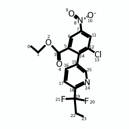 CCOC(=O)c1cc([N+](=O)[O-])cc(Cl)c1-c1ccc(C(F)(F)CC)nc1